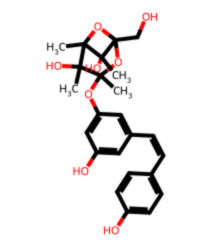 CC1(Oc2cc(O)cc(/C=C\c3ccc(O)cc3)c2)OC2(CO)OC(C)(C1(C)O)C2(C)O